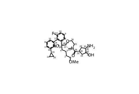 COCCCC[C@@](O)(c1cccc(F)c1-c1cccc(C2CC2)c1)[C@H]1CN(C(=O)[C@H]2C[C@@H](N)[C@@H](O)C2)CCO1